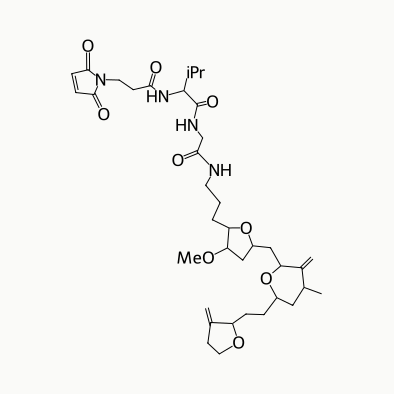 C=C1CCOC1CCC1CC(C)C(=C)C(CC2CC(OC)C(CCCNC(=O)CNC(=O)C(NC(=O)CCN3C(=O)C=CC3=O)C(C)C)O2)O1